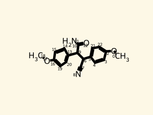 COc1ccc(C(C#N)C(C(N)=O)c2ccc(OC)cc2)cc1